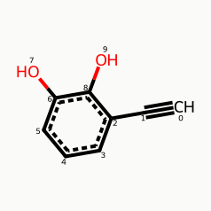 C#Cc1cccc(O)c1O